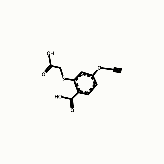 C#COc1ccc(C(=O)O)c(SCC(=O)O)c1